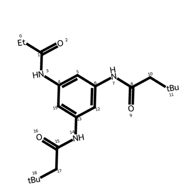 CCC(=O)Nc1cc(NC(=O)CC(C)(C)C)cc(NC(=O)CC(C)(C)C)c1